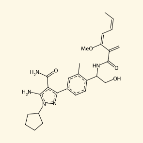 C=C(C(=O)NC(CO)c1ccc(-c2nn(C3CCCC3)c(N)c2C(N)=O)cc1C)/C(=C\C=C/C)OC